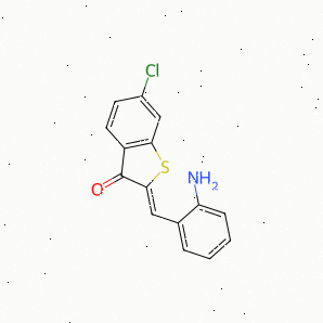 Nc1ccccc1C=C1Sc2cc(Cl)ccc2C1=O